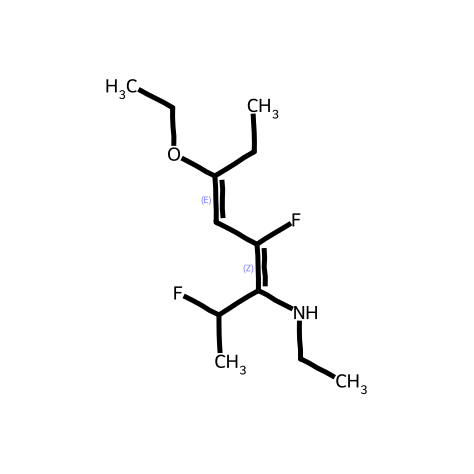 CCN/C(=C(F)/C=C(\CC)OCC)C(C)F